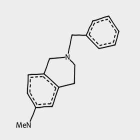 CNc1ccc2c(c1)CCN(Cc1ccccc1)C2